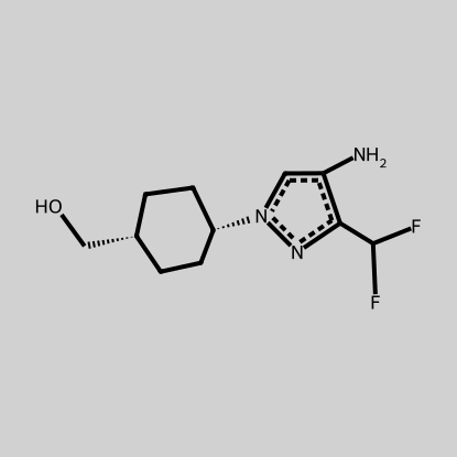 Nc1cn([C@H]2CC[C@@H](CO)CC2)nc1C(F)F